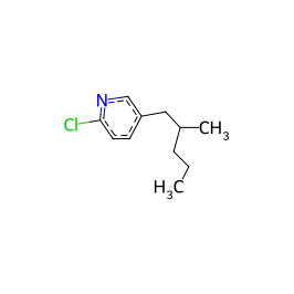 CCCC(C)Cc1ccc(Cl)nc1